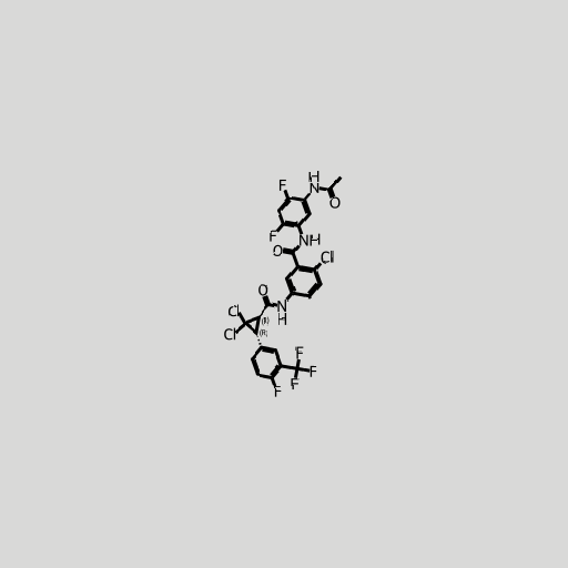 CC(=O)Nc1cc(NC(=O)c2cc(NC(=O)[C@H]3[C@H](c4ccc(F)c(C(F)(F)F)c4)C3(Cl)Cl)ccc2Cl)c(F)cc1F